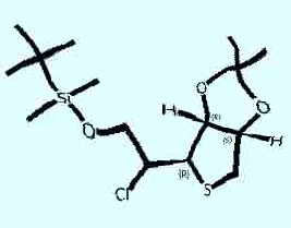 CC1(C)O[C@@H]2[C@@H](CS[C@H]2C(Cl)CO[Si](C)(C)C(C)(C)C)O1